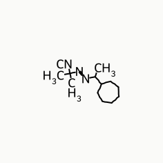 CC(N=NC(C)(C)C#N)C1CCCCCC1